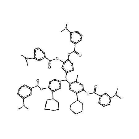 Cc1cc(OC(=O)c2cccc(N(C)C)c2)c(C2CCCCC2)cc1C(c1ccc(OC(=O)c2cccc(N(C)C)c2)c(OC(=O)c2cccc(N(C)C)c2)c1)c1ccc(OC(=O)c2cccc(N(C)C)c2)c(C2CCCCC2)c1